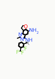 Cc1nc(N[C@H](C)c2cccc(C(F)F)c2F)c2cc(N)c3c(c2n1)CCO3